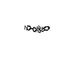 O=C1N(c2ccc(-c3ccncc3)cc2)CCC12Cc1ccccc1N2